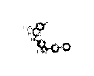 C[C@@H](NC(=O)Nc1cc2[nH]nc(-c3ccc(N4CCCCC4)nc3)c2cn1)c1ccc(F)cc1